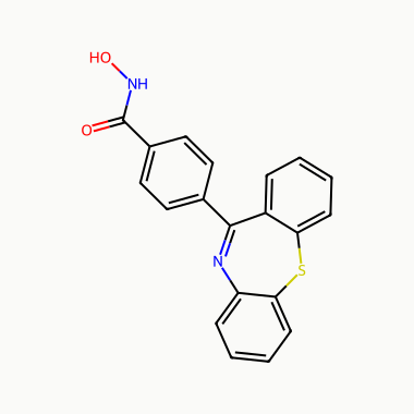 O=C(NO)c1ccc(C2=Nc3ccccc3Sc3ccccc32)cc1